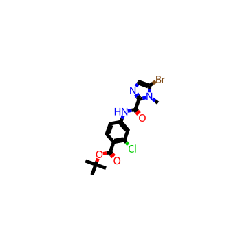 Cn1c(Br)cnc1C(=O)Nc1ccc(C(=O)OC(C)(C)C)c(Cl)c1